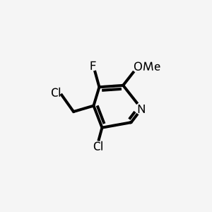 COc1ncc(Cl)c(CCl)c1F